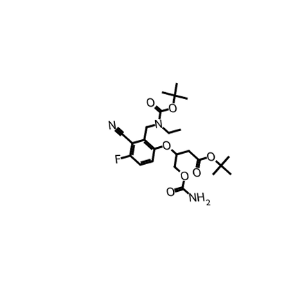 CCN(Cc1c(OC(COC(N)=O)CC(=O)OC(C)(C)C)ccc(F)c1C#N)C(=O)OC(C)(C)C